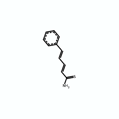 NC(=S)C=CC=Cc1ccccc1